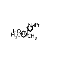 CC(C)c1ccc(N2C[C@](C)(O)CC[C@@H]2C)cn1